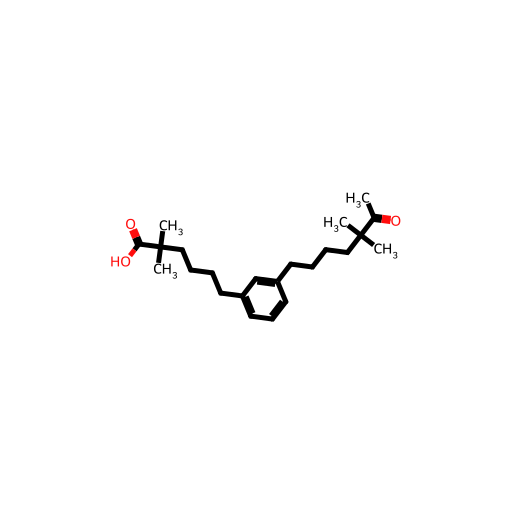 CC(=O)C(C)(C)CCCCc1cccc(CCCCC(C)(C)C(=O)O)c1